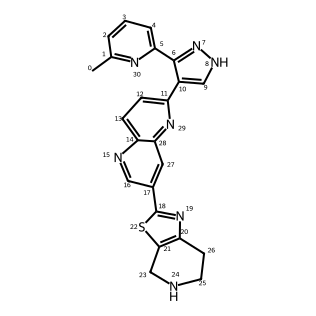 Cc1cccc(-c2n[nH]cc2-c2ccc3ncc(-c4nc5c(s4)CNCC5)cc3n2)n1